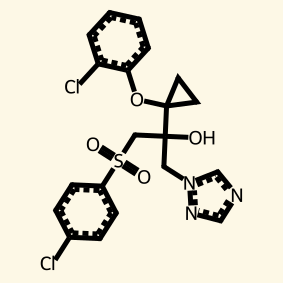 O=S(=O)(CC(O)(Cn1cncn1)C1(Oc2ccccc2Cl)CC1)c1ccc(Cl)cc1